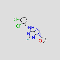 Fc1nc(NCc2cccc(Cl)c2Cl)c2ncn(C3CCCO3)c2n1